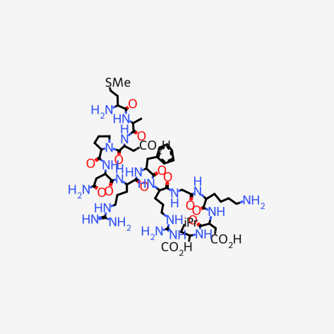 CSCCC(N)C(=O)NC(C)C(=O)NC(CC(=O)O)C(=O)N1CCCC1C(=O)NC(CC(N)=O)C(=O)NC(CCCNC(=N)N)C(=O)NC(Cc1ccccc1)C(=O)NC(CCCNC(=N)N)C(=O)NCC(=O)NC(CCCCN)C(=O)NC(CC(=O)O)C(=O)NC(CC(C)C)C(=O)O